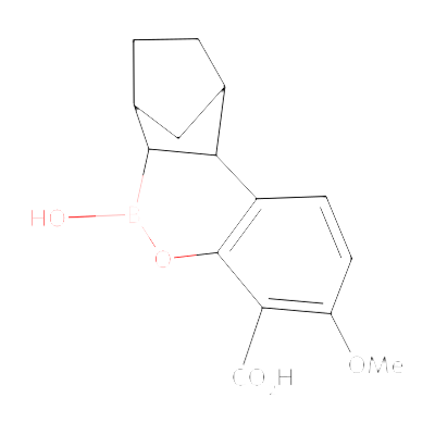 COc1ccc2c(c1C(=O)O)OB(O)C1C3CCC(C3)C21